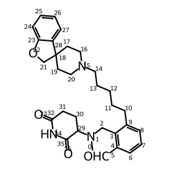 CN(Cc1c(C=O)cccc1CCCCCN1CCC2(CC1)COc1ccccc12)C1CCC(=O)NC1=O